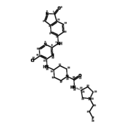 O=C1N=Cc2cc(Nc3ncc(Cl)c(NC4CCN(C(=O)N[C@@H]5CCN(CCF)C5)CC4)n3)ccc21